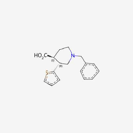 O=C(O)[C@H]1CCN(Cc2ccccc2)C[C@@H]1c1cccs1